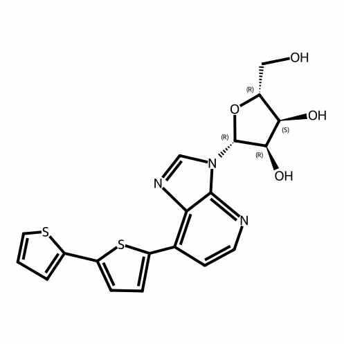 OC[C@H]1O[C@@H](n2cnc3c(-c4ccc(-c5cccs5)s4)ccnc32)[C@H](O)[C@@H]1O